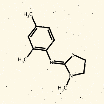 Cc1ccc(N=C2SCCN2C)c(C)c1